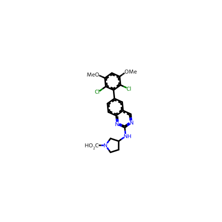 COc1cc(OC)c(Cl)c(-c2ccc3nc(NC4CCN(C(=O)O)C4)ncc3c2)c1Cl